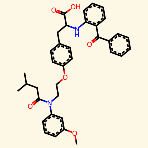 COc1cccc(N(CCOc2ccc(CC(Nc3ccccc3C(=O)c3ccccc3)C(=O)O)cc2)C(=O)CC(C)C)c1